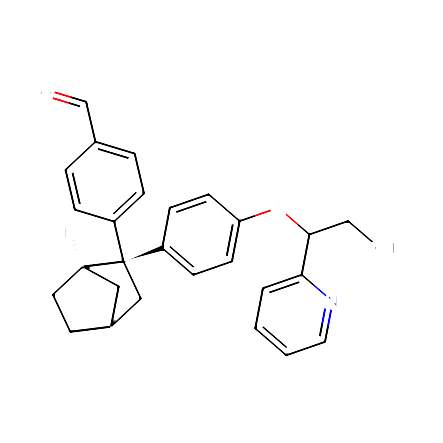 CCC(Oc1ccc([C@@]2(c3ccc(C=O)cc3)CC3CC[C@@H]2C3)cc1)c1ccccn1